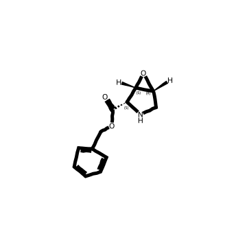 O=C(OCc1ccccc1)[C@H]1NC[C@H]2O[C@@H]12